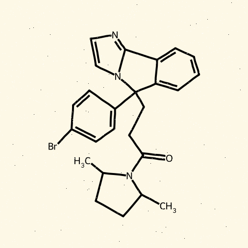 CC1CCC(C)N1C(=O)CCC1(c2ccc(Br)cc2)c2ccccc2-c2nccn21